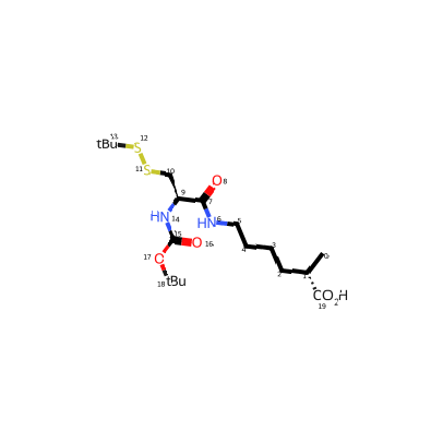 C[C@@H](CCCCNC(=O)[C@H](CSSC(C)(C)C)NC(=O)OC(C)(C)C)C(=O)O